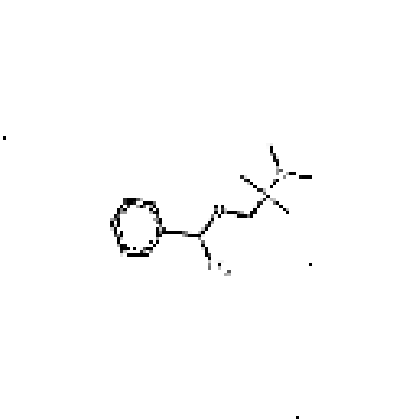 CN(C)[Si](C)(C)COC(c1ccccc1)C(F)(F)F